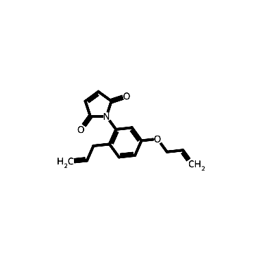 C=CCOc1ccc(CC=C)c(N2C(=O)C=CC2=O)c1